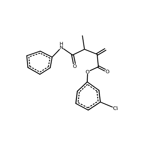 C=C(C(=O)Oc1cccc(Cl)c1)C(C)C(=O)Nc1ccccc1